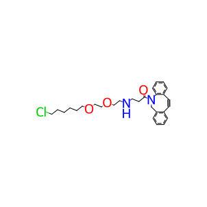 O=C(CCNCCOCCOCCCCCCCl)N1Cc2ccccc2C#Cc2ccccc21